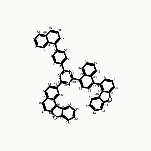 c1ccc2c(-c3ccc(-c4nc(-c5ccc6ccc7oc8ccccc8c7c6c5)nc(-c5ccc(-c6cccc7oc8ccccc8c67)c6ccccc56)n4)cc3)cccc2c1